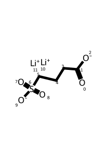 O=C([O-])CCCS(=O)(=O)[O-].[Li+].[Li+]